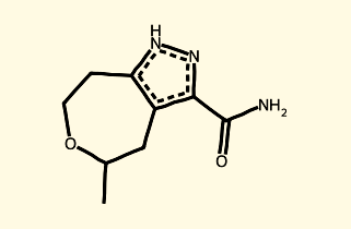 CC1Cc2c(C(N)=O)n[nH]c2CCO1